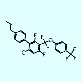 CCCc1ccc(-c2c([O])cc(F)c(C(F)(F)Oc3ccc(C(F)(F)F)cc3)c2F)cc1